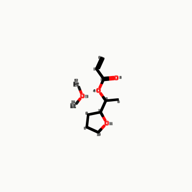 C=CC(=O)OC(C)C1CCCO1.CCOCC